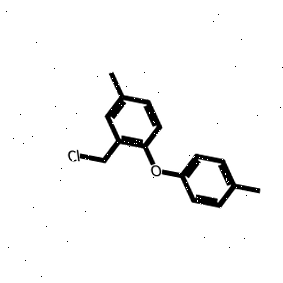 Cc1ccc(Oc2ccc(C)cc2CCl)cc1